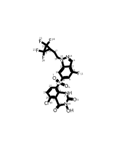 O=c1[nH]c2c(S(=O)(=O)c3cc(F)c4cnn(CCC5C(F)(F)C5(F)F)c4c3)ccc(Cl)c2c(=O)n1O